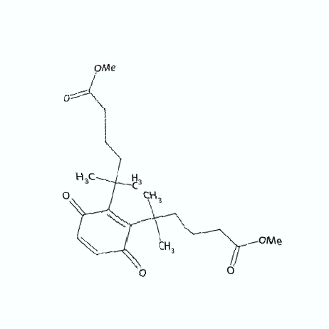 COC(=O)CCCC(C)(C)C1=C(C(C)(C)CCCC(=O)OC)C(=O)C=CC1=O